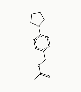 CC(=O)OCc1cnc(N2CCCC2)nc1